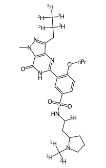 [2H]C(CC1CCCN1C([2H])([2H])[2H])NS(=O)(=O)c1ccc(OCCC)c(-c2nc3c(CC([2H])([2H])C([2H])([2H])[2H])nn(C)c3c(=O)[nH]2)c1